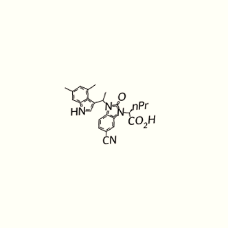 CCC[C@@H](C(=O)O)n1c(=O)n(C(C)c2c[nH]c3cc(C)cc(C)c23)c2ccc(C#N)cc21